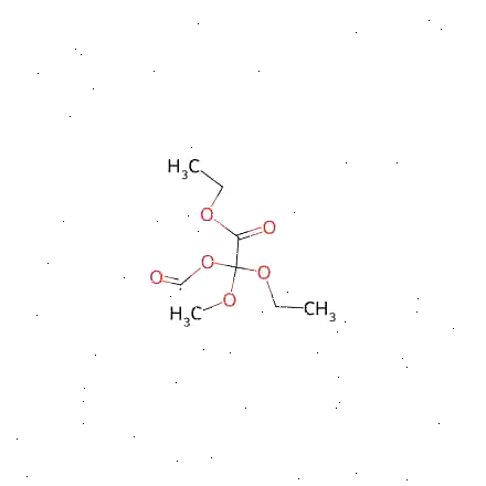 CCOC(=O)C(OC)(O[C]=O)OCC